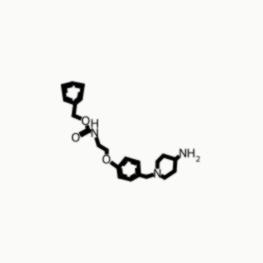 NC1CCN(Cc2ccc(OCCNC(=O)OCc3ccccc3)cc2)CC1